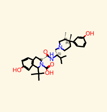 CC(C)[C@@H](CN1CC[C@@](C)(c2cccc(O)c2)[C@@H](C)C1)NC(=O)[C@H]1Cc2ccc(O)cc2C(C(C)(C)C)N1C(=O)O